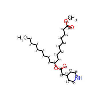 CCCCCCCCCC(CCCCCCCCC(=O)OC)OC(=O)CC1CCNCC1